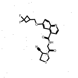 N#CC1CSCN1C(=O)CNC(=O)c1ccnc2ccc(OCC3CC(F)(F)C3)cc12